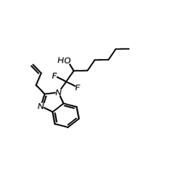 C=CCc1nc2ccccc2n1C(F)(F)C(O)CCCCC